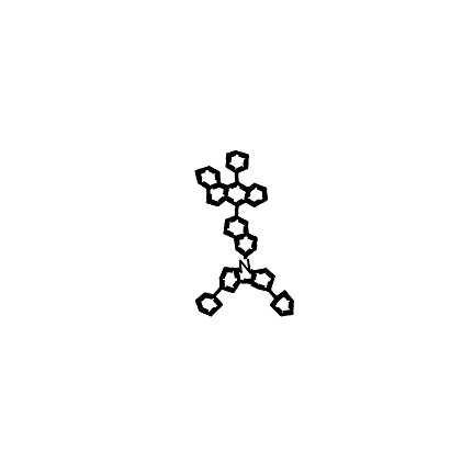 c1ccc(-c2ccc3c(c2)c2cc(-c4ccccc4)ccc2n3-c2ccc3cc(-c4c5ccccc5c(-c5ccccc5)c5c4ccc4ccccc45)ccc3c2)cc1